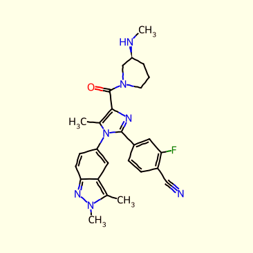 CN[C@H]1CCCN(C(=O)c2nc(-c3ccc(C#N)c(F)c3)n(-c3ccc4nn(C)c(C)c4c3)c2C)C1